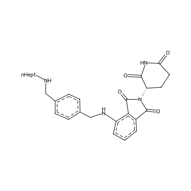 CCCCCCCNCc1ccc(CNc2cccc3c2C(=O)N([C@H]2CCC(=O)NC2=O)C3=O)cc1